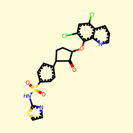 O=C1C(Oc2c(Cl)cc(Cl)c3cccnc23)CCC1c1ccc(S(=O)(=O)Nc2nccs2)cc1